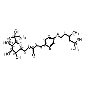 CC(S)CC(C)CCOc1ccc(CCC(=O)OCC2OC(C(C)(C)O)C(O)C(O)C2O)cc1